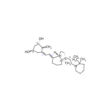 C=C1/C(=C\C=C2/CCC[C@]3(C)[C@@H]([C@H](C)CN4CCCCC4(C)C)CC[C@@H]23)C[C@@H](O)C[C@@H]1O